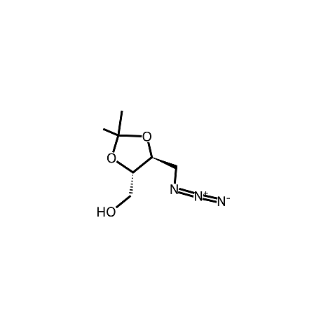 CC1(C)O[C@@H](CO)[C@H](CN=[N+]=[N-])O1